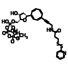 COP(=O)(O)OP(=O)(O)OP(=O)(O)OC[C@H]1O[C@@H](C2=C/C=C(C#CCNC(=O)CCSSc3ccccn3)\C=C/C=C\2)C[C@H]1O